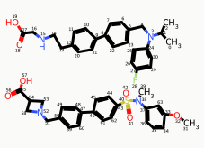 CC(C)N(Cc1ccc(-c2ccc(CCNCC(=O)O)cc2)cc1)c1ccc(F)cc1.COc1cccc(N(C)S(=O)(=O)c2ccc(-c3ccc(CN4CC(C(=O)O)C4)cc3)cc2)c1